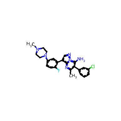 Cc1nc2c(-c3cc(N4CCN(C)CC4)ccc3F)cnn2c(N)c1-c1cccc(Cl)c1